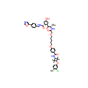 CC1(C)C(NC(=O)c2ccc(OCCCCCOCC(=O)N[C@H](C(=O)C3C[C@H](O)C[C@H]3C(=O)NCc3ccc(-c4cnco4)cc3)C(C)(C)C)cc2)C(C)(C)C1Oc1ccc(C#N)c(Cl)c1